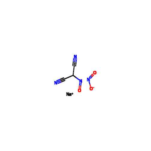 N#CC(C#N)N=O.O=N[O-].[Na+]